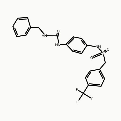 O=C(NCc1ccncc1)Nc1ccc(NS(=O)(=O)Cc2ccc(C(F)(F)F)cc2)cc1